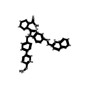 COc1ncc(-c2ccc(Cn3c(C4CCCCC4C(=O)O)nc4cc(OCc5ccc6ccccc6n5)ccc43)cc2)cn1